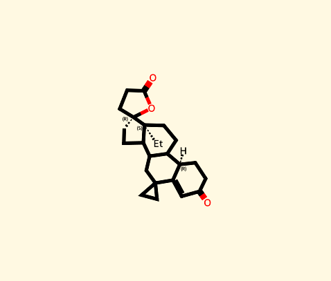 CC[C@]12CCC3C(CC4(CC4)C4=CC(=O)CC[C@@H]43)C1CC[C@@]21CCC(=O)O1